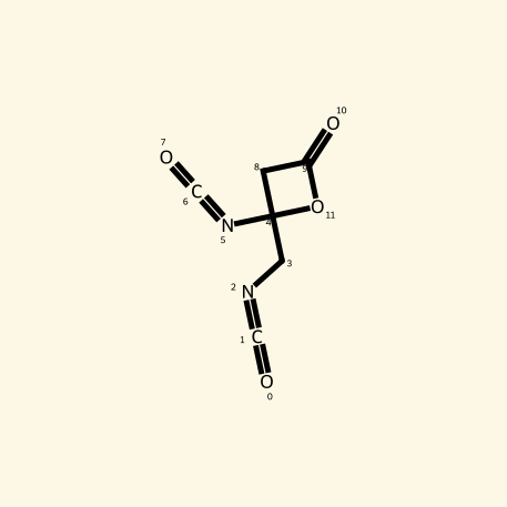 O=C=NCC1(N=C=O)CC(=O)O1